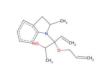 C=CCOC(C=C)(C(C)O)N1c2ccccc2CC1C